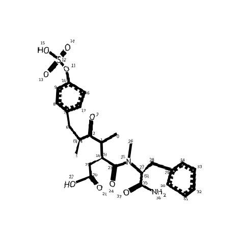 CC(C(=O)[C@@H](C)Cc1ccc(OS(=O)(=O)O)cc1)[C@H](CC(=O)O)C(=O)N(C)[C@@H](Cc1ccccc1)C(N)=O